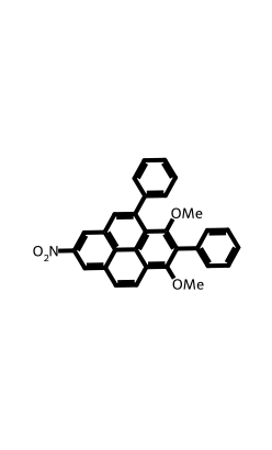 COc1c(-c2ccccc2)c(OC)c2c(-c3ccccc3)cc3cc([N+](=O)[O-])cc4ccc1c2c43